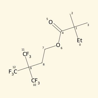 CCC(C)(C)C(=O)OCCC(C(F)(F)F)(C(F)(F)F)C(F)(F)F